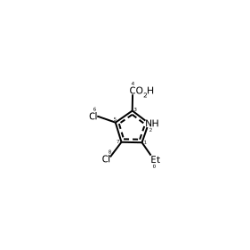 CCc1[nH]c(C(=O)O)c(Cl)c1Cl